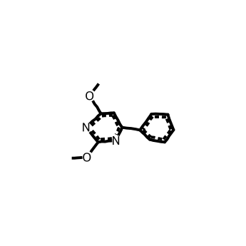 COc1cc(-c2ccccc2)nc(OC)n1